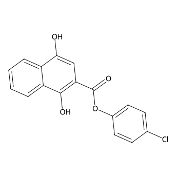 O=C(Oc1ccc(Cl)cc1)c1cc(O)c2ccccc2c1O